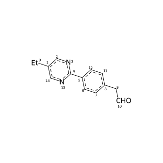 CCc1cnc(-c2ccc(CC=O)cc2)nc1